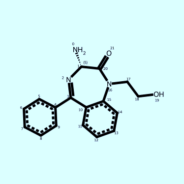 N[C@H]1N=C(c2ccccc2)c2ccccc2N(CCO)C1=O